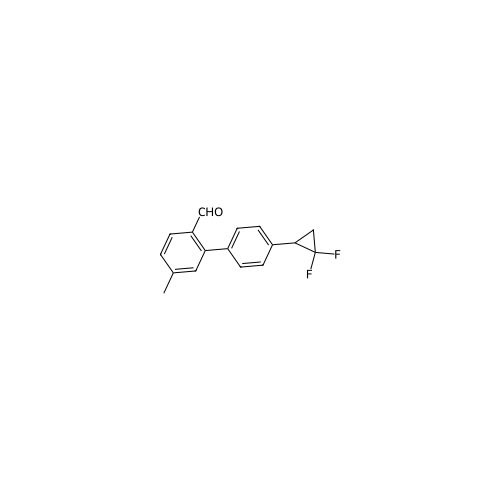 Cc1ccc(C=O)c(-c2ccc(C3CC3(F)F)cc2)c1